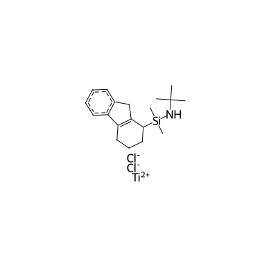 CC(C)(C)N[Si](C)(C)C1CCCC2=C1Cc1ccccc12.[Cl-].[Cl-].[Ti+2]